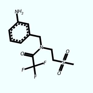 CS(=O)(=O)CCN(Cc1cccc(N)c1)C(=O)C(F)(F)F